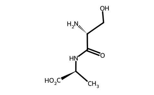 C[C@H](NC(=O)[C@H](N)CO)C(=O)O